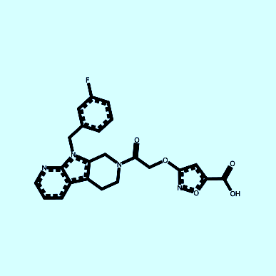 O=C(O)c1cc(OCC(=O)N2CCc3c(n(Cc4cccc(F)c4)c4ncccc34)C2)no1